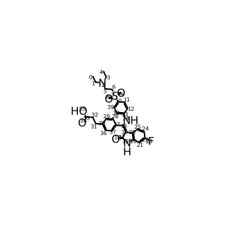 CCN(CC)CCS(=O)(=O)c1ccc(NC(=C2C(=O)Nc3cc(F)ccc32)c2ccc(CCC(=O)O)cc2)cc1